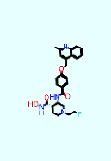 Cc1cc(COc2ccc(C(=O)N[C@@H]3CN(CCF)CC[C@@H]3C(=O)NO)cc2)c2ccccc2n1